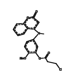 COc1ccc(N(C)c2cc(=O)oc3ccccc23)cc1OC(=O)CCCl